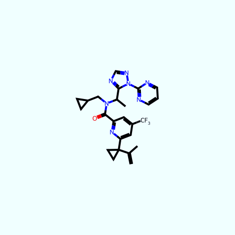 C=C(C)C1(c2cc(C(F)(F)F)cc(C(=O)N(CC3CC3)C(C)c3ncnn3-c3ncccn3)n2)CC1